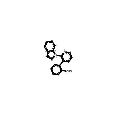 O=Cc1ccccc1-c1cccnc1-n1ccc2ccccc21